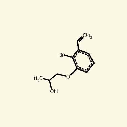 C=Cc1cccc(OCC(C)O)c1Br